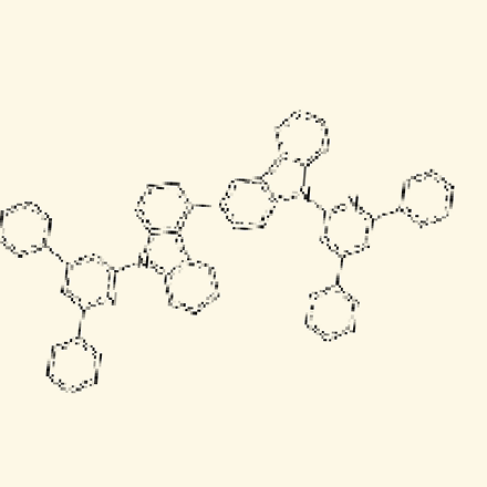 c1ccc(-c2cc(-c3ccccc3)nc(-n3c4ccccc4c4cc(-c5cccc6c5c5ccccc5n6-c5cc(-c6ccccc6)cc(-c6ccccc6)n5)ccc43)c2)cc1